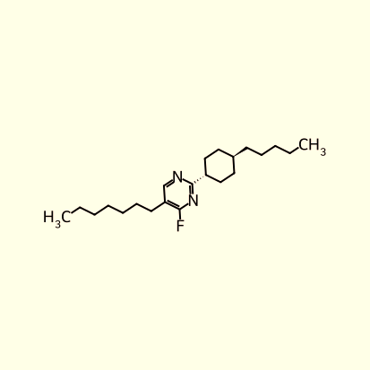 CCCCCCCc1cnc([C@H]2CC[C@H](CCCCC)CC2)nc1F